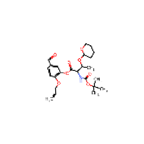 C=CCOc1ccc(C=O)cc1OC(=O)C(NC(=O)OC(C)(C)C)C(C)OC1CCCCO1